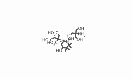 CC1(C)C(O)CCN(O)C1(C)C.NC(CO)(CO)CO.O=C(O)CC(O)(CC(=O)O)C(=O)O